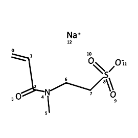 C=CC(=O)N(C)CCS(=O)(=O)[O-].[Na+]